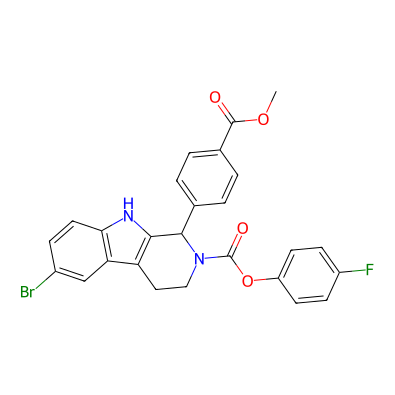 COC(=O)c1ccc(C2c3[nH]c4ccc(Br)cc4c3CCN2C(=O)Oc2ccc(F)cc2)cc1